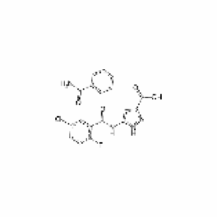 NC(=O)c1ccccc1.O=C(O)c1cc(NC(=O)c2cc(Cl)ccc2F)[nH]n1